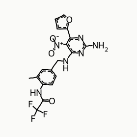 Cc1cc(CNc2nc(N)nc(-c3ccco3)c2[N+](=O)[O-])ccc1NC(=O)C(F)(F)F